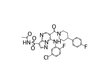 CC(=O)NS(=O)(=O)c1cnn2c(Nc3cc(Cl)ccc3F)c(C(=O)N3CCC(c4ccc(F)cc4)CC3)cnc12